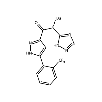 CCC(C)N(C(=O)c1cc(-c2ccccc2C(F)(F)F)[nH]n1)c1nnn[nH]1